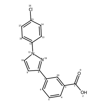 O=C(O)c1cccc(-c2ccn(-c3ccc(Cl)cc3)n2)c1